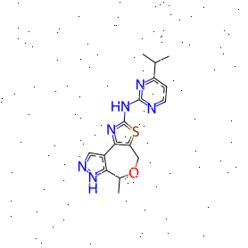 CC(C)c1ccnc(Nc2nc3c(s2)COC(C)c2[nH]ncc2-3)n1